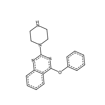 c1ccc(Oc2nc(N3CCNCC3)nc3ccccc23)cc1